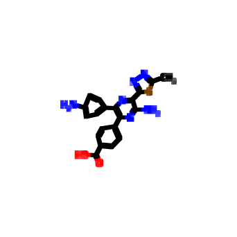 Cc1nnc(-c2nc(-c3ccc(N)cc3)c(-c3ccc(C(=O)O)cc3)nc2N)s1